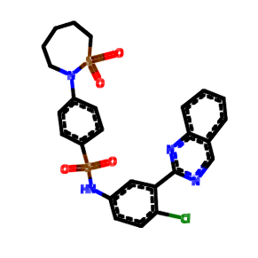 O=S(=O)(Nc1ccc(Cl)c(-c2ncc3ccccc3n2)c1)c1ccc(N2CCCCCS2(=O)=O)cc1